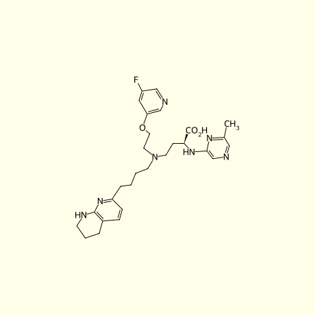 Cc1cncc(N[C@@H](CCN(CCCCc2ccc3c(n2)NCCC3)CCOc2cncc(F)c2)C(=O)O)n1